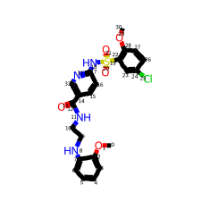 COc1ccccc1NCCNC(=O)c1ccc(NS(=O)(=O)c2cc(Cl)ccc2OC)nc1